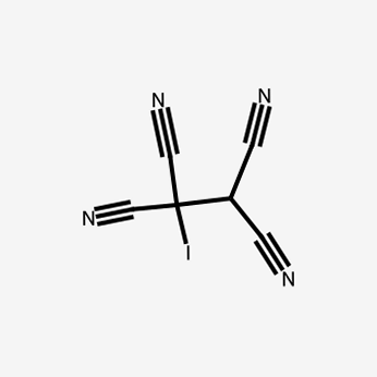 N#CC(C#N)C(I)(C#N)C#N